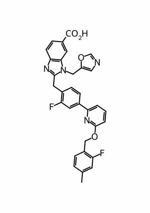 Cc1ccc(COc2cccc(-c3ccc(Cc4nc5ccc(C(=O)O)cc5n4Cc4cnco4)c(F)c3)n2)c(F)c1